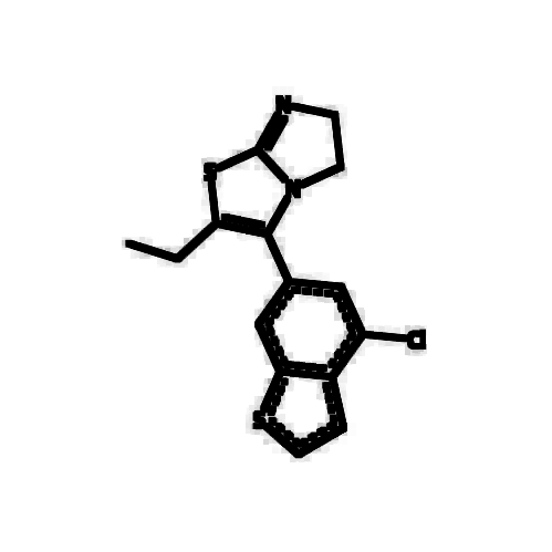 CCC1=C(c2cc(Cl)c3ccsc3c2)N2CCN=C2S1